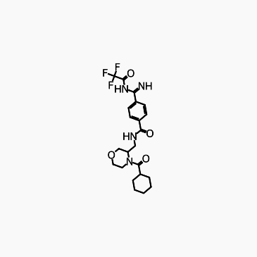 N=C(NC(=O)C(F)(F)F)c1ccc(C(=O)NCC2COCCN2C(=O)C2CCCCC2)cc1